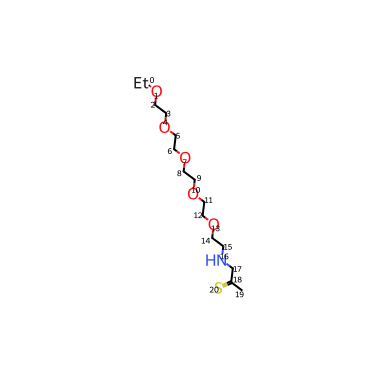 CCOCCOCCOCCOCCOCCNCC(C)=S